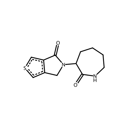 O=C1NCCCCC1N1Cc2cscc2C1=O